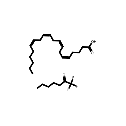 CCCCC/C=C\C/C=C\C/C=C\C/C=C\CCCC(=O)O.CCCCCC(=O)C(F)(F)F